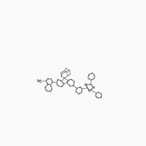 N#Cc1ccc(-c2ccc3c(c2)C2(c4ccc(-c5cccc(-c6nc(-c7ccccc7)nc(-c7ccccc7)n6)c5)cc4-3)C3CC4CC(C3)CC2C4)c2ccccc12